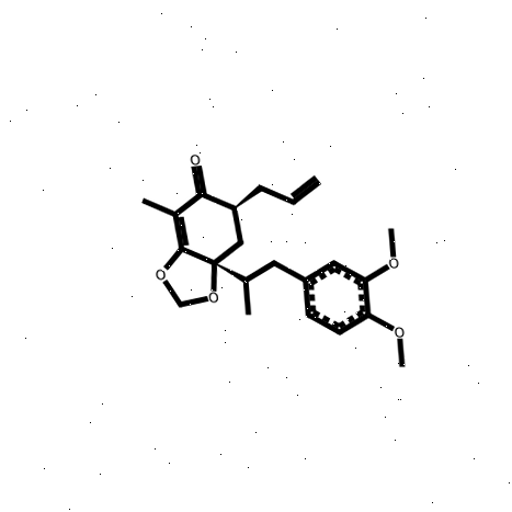 C=CC[C@H]1C[C@]2(C(C)Cc3ccc(OC)c(OC)c3)OCOC2=C(C)C1=O